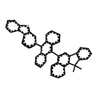 CC1(C)c2ccccc2-c2cc(-c3c4ccccc4c(-c4ccc5c(c4)oc4ccccc45)c4ccccc34)c3ccccc3c21